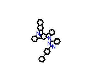 c1ccc(-c2ccc(-c3nc(-n4c5ccccc5c5c6c7cc8ccccc8cc7n7c8ccccc8c(cc54)c67)c4ccccc4n3)cc2)cc1